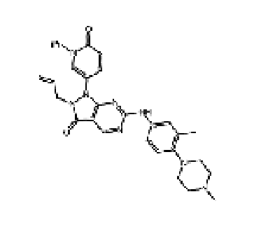 C=CCn1c(=O)c2cnc(Nc3ccc(N4CCN(C)CC4)c(C)c3)nc2n1-c1ccc(=O)n(C(C)C)c1